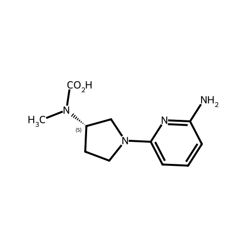 CN(C(=O)O)[C@H]1CCN(c2cccc(N)n2)C1